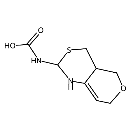 O=C(O)NC1NC2=CCOCC2CS1